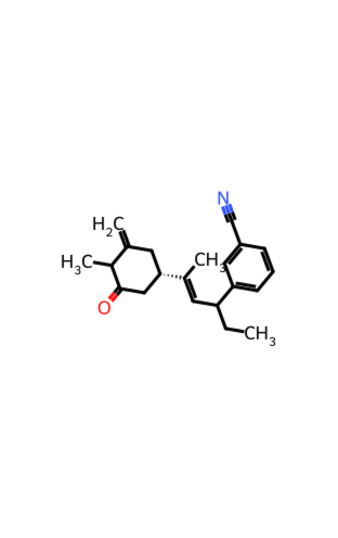 C=C1C[C@H](/C(C)=C/C(CC)c2cccc(C#N)c2)CC(=O)C1C